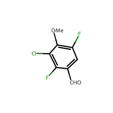 COc1c(F)cc(C=O)c(F)c1Cl